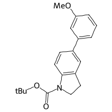 COc1cccc(-c2ccc3c(c2)CCN3C(=O)OC(C)(C)C)c1